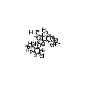 CCS(=O)(=O)c1cc(C(=O)N2[C@@H](C(=O)NC(c3cc(F)c(Cl)cc3F)C3CC3)C[C@@H](C)[C@H]2C)ccn1